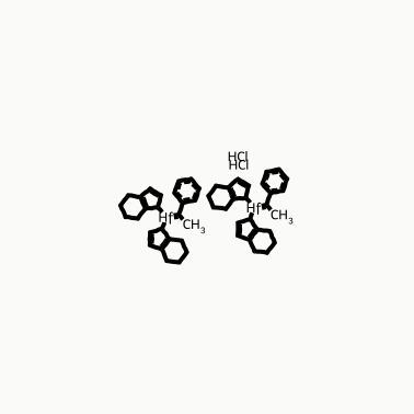 C[C](c1ccccc1)=[Hf]([CH]1C=CC2=C1CCCC2)[CH]1C=CC2=C1CCCC2.C[C](c1ccccc1)=[Hf]([CH]1C=CC2=C1CCCC2)[CH]1C=CC2=C1CCCC2.Cl.Cl